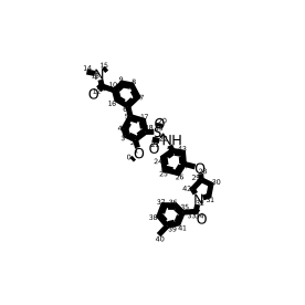 COc1ccc(-c2cccc(C(=O)N(C)C)c2)cc1S(=O)(=O)Nc1cccc(OC2CCN(C(=O)c3cccc(C)c3)C2)c1